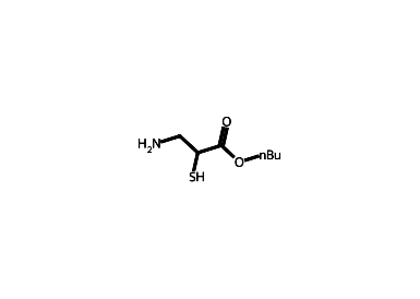 CCCCOC(=O)C(S)CN